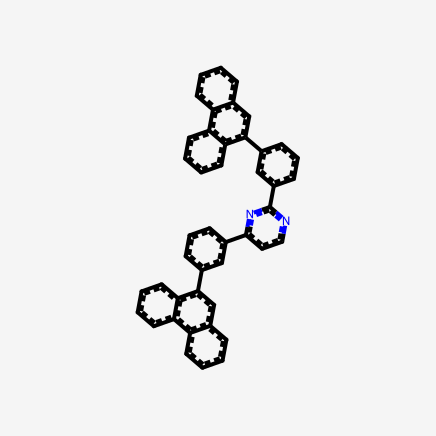 c1cc(-c2ccnc(-c3cccc(-c4cc5ccccc5c5ccccc45)c3)n2)cc(-c2cc3ccccc3c3ccccc23)c1